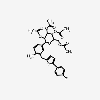 CC(=O)OCC1OC(c2ccc(C)c(Cc3ccc(-c4ccc(F)cc4)s3)c2)C(OC(C)=O)C(OC(C)=O)[C@@H]1OC(C)=O